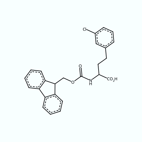 O=C(NC(CCc1cccc(Cl)c1)C(=O)O)OCC1c2ccccc2-c2ccccc21